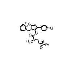 CC(C)S(=O)(=O)CCN(C)C(=O)Oc1c(-c2ccc(Cl)cc2)cc(C(F)(F)F)n1Cc1ccccc1